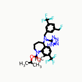 Cc1c(C(F)(F)F)ccc2c1N(C(=O)OC(C)C)CCCC2N(Cc1cc(CF)cc(C(F)(F)F)c1)c1nnn[nH]1